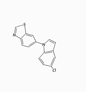 Clc1ccc2c(ccn2-c2ccc3ncsc3c2)c1